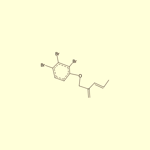 C=C(C=CC)COc1ccc(Br)c(Br)c1Br